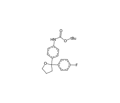 CC(C)(C)OC(=O)Nc1ccc(C2(c3ccc(F)cc3)CCCO2)cc1